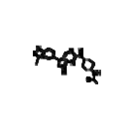 CC(=O)NC1CCC(Nc2ncc3c(-c4ccc5nnc(C)n5c4)c[nH]c3n2)CC1